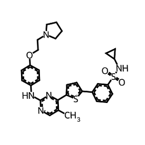 Cc1cnc(Nc2ccc(OCCN3CCCC3)cc2)nc1-c1ccc(-c2cccc(S(=O)(=O)NC3CC3)c2)s1